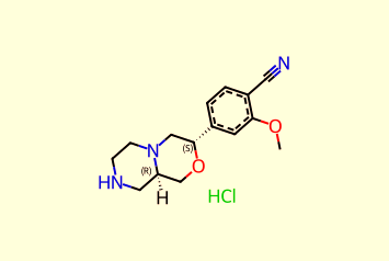 COc1cc([C@H]2CN3CCNC[C@@H]3CO2)ccc1C#N.Cl